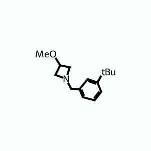 COC1CN(Cc2cccc(C(C)(C)C)c2)C1